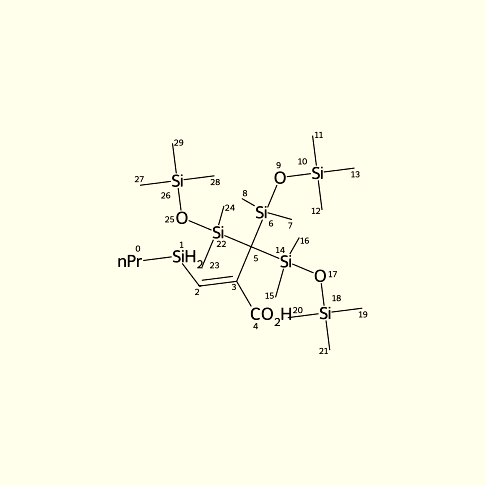 CCC[SiH2]C=C(C(=O)O)C([Si](C)(C)O[Si](C)(C)C)([Si](C)(C)O[Si](C)(C)C)[Si](C)(C)O[Si](C)(C)C